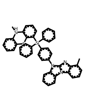 Cc1cccc2c1nc1n(-c3ccc([Si](c4ccccc4)(c4ccccc4)c4cccc5c4Sc4ccccc4[SiH]5C)cc3)c3ccccc3n21